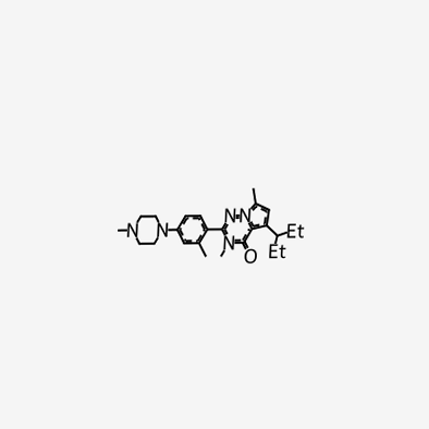 CCC(CC)c1cc(C)n2nc(-c3ccc(N4CCN(C)CC4)cc3C)n(C)c(=O)c12